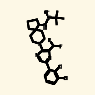 CC(C)(C)[S@+]([O-])N[C@@H]1CCCC12CCN(c1ncc(-c3cccc(Cl)c3Cl)nc1C(F)F)CC2